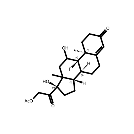 CC(=O)OCC(=O)[C@@]1(O)CC[C@H]2[C@@H]3CCC4=CC(=O)CC[C@]4(C)[C@@]3(F)C(O)CC21C